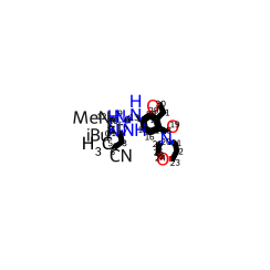 CCC(C)NC(CC(C)C#N)N/C(=N\C(CC)NC)Nc1ccc(C(=O)N2CCCOCC2)c2c1OCC2